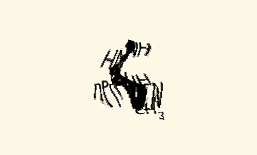 CCCc1cc(N2CC[C@H](NCc3ccc[nH]3)C2)nc(Nc2ccc(C)c(C#N)c2)n1